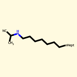 CCCCCCCCCCCCCCNC(C)C#N